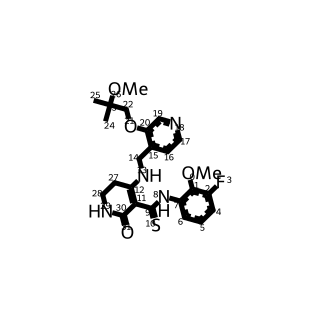 COc1c(F)cccc1NC(=S)C1=C(NCc2ccncc2OCC(C)(C)OC)CCNC1=O